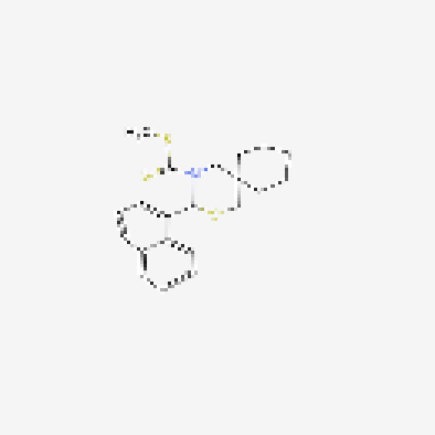 CSC(=S)N1CC2(CCCCC2)CSC1c1cccc2ccccc12